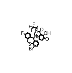 C[C@@H](N1CN([C@H]2c3ccc(F)cc3CSc3c(Br)cccc32)n2ccc(=O)c(O)c2C1=O)C(F)(F)F